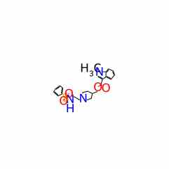 Cn1cc(C(=O)OCC2CCN(CCNS(=O)(=O)c3ccccc3)CC2)c2ccccc21